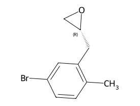 Cc1ccc(Br)cc1C[C@@H]1CO1